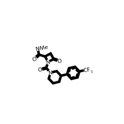 CNC(=O)C1CC(=O)N1C(=O)N1CCCC(c2ccc(C(F)(F)F)cc2)C1